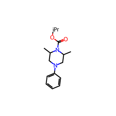 CC(C)OC(=O)N1C(C)CN(c2ccccc2)CC1C